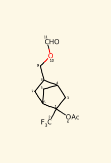 CC(=O)OC1(C(F)(F)F)CC2CC1CC2COC=O